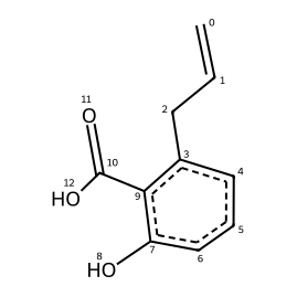 C=CCc1cccc(O)c1C(=O)O